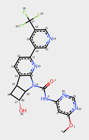 COc1cc(NC(=O)N2c3nc(-c4cncc(C(F)(F)F)c4)ccc3C3C[C@@H](O)C32)ncn1